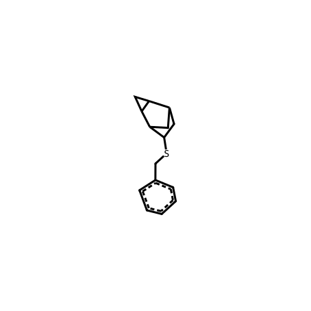 c1ccc(CSC2CC3CC2C2CC32)cc1